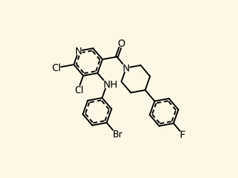 O=C(c1cnc(Cl)c(Cl)c1Nc1cccc(Br)c1)N1CCC(c2ccc(F)cc2)CC1